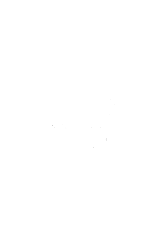 Cl.O=[N+]([O-])c1ccc(O[C@H]2CCNC[C@H]2c2ccccc2)cc1